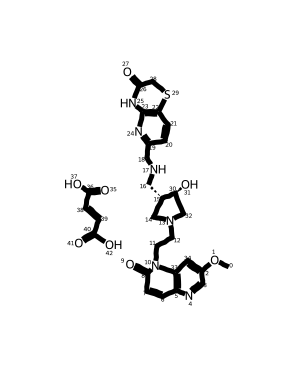 COc1cnc2ccc(=O)n(CCN3C[C@H](CNCc4ccc5c(n4)NC(=O)CS5)[C@H](O)C3)c2c1.O=C(O)C=CC(=O)O